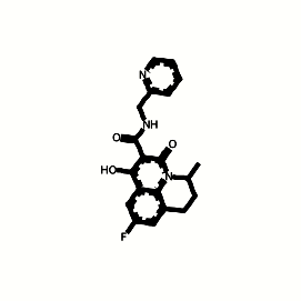 CC1CCc2cc(F)cc3c(O)c(C(=O)NCc4ccccn4)c(=O)n1c23